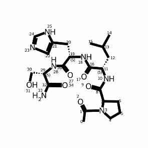 CC(=O)N1CCCC1C(=O)N[C@@H](CC(C)C)C(=O)N[C@@H](Cc1cnc[nH]1)C(=O)N[C@@H](CO)C(N)=O